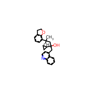 CC(C)(CC(O)(Cc1ccnc2ccccc12)C1CC1)c1cccc2c1OCC2